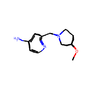 COC1CCN(Cc2cc(N)ccn2)C1